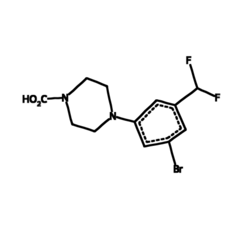 O=C(O)N1CCN(c2cc(Br)cc(C(F)F)c2)CC1